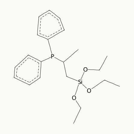 CCO[Si](CC(C)P(c1ccccc1)c1ccccc1)(OCC)OCC